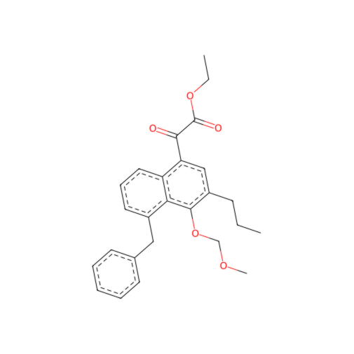 CCCc1cc(C(=O)C(=O)OCC)c2cccc(Cc3ccccc3)c2c1OCOC